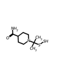 CC(C)(SS)N1CCC(C(N)=O)CC1